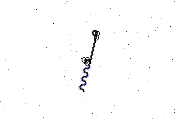 CC/C=C\C/C=C\C/C=C\C/C=C\C/C=C\C/C=C\CCC(CCCCCCCCCCOC1CCCCO1)OS(C)(=O)=O